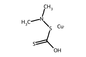 CN(C)SC(O)=S.[Cu]